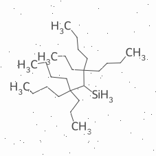 CCCCC(CCC)(CCCC)C([SiH3])C(CCC)(CCCC)CCCC